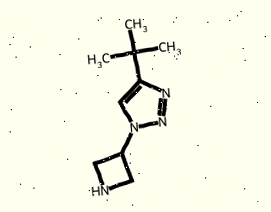 CC(C)(C)c1cn(C2CNC2)nn1